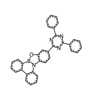 c1ccc(-c2nc(-c3ccccc3)nc(-c3ccc4c(c3)OB3c5ccccc5-c5ccccc5N34)n2)cc1